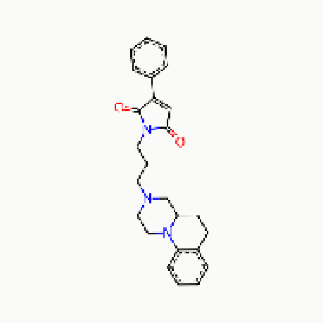 O=C1C=C(c2ccccc2)C(=O)N1CCCN1CCN2c3ccccc3CCC2C1